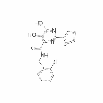 O=C(NCc1ccccc1Cl)c1nc(-c2cccs2)nc(O)c1O